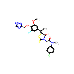 COc1cc(/C(C)=C2\SC(=S)N(CC(=O)N(C)c3ccc(Cl)cc3)C2=O)cc(F)c1OCc1nc[nH]n1